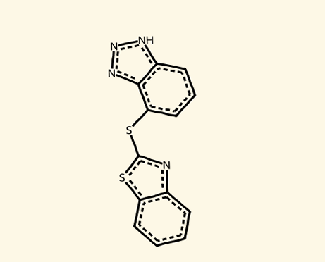 c1ccc2sc(Sc3cccc4[nH]nnc34)nc2c1